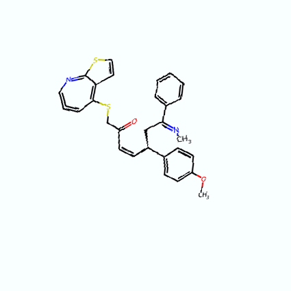 C/N=C(\C[C@H](/C=C\C(=O)CSC1=c2ccsc2=NC=C=C1)c1ccc(OC)cc1)c1ccccc1